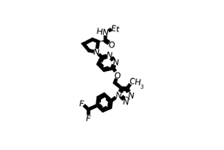 CCNC(=O)[C@H]1CCCN1c1ccc(OCc2c(C)nnn2-c2ccc(C(F)F)cc2)nn1